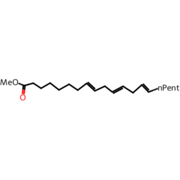 CCCCC/C=C/C/C=C/C/C=C/CCCCCCC(=O)OC